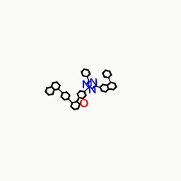 c1ccc(-c2nc(-c3ccc4c(c3)oc3cccc(-c5ccc(-c6cccc7ccccc67)cc5)c34)nc(-c3ccc4cccc(-c5ccccc5)c4c3)n2)cc1